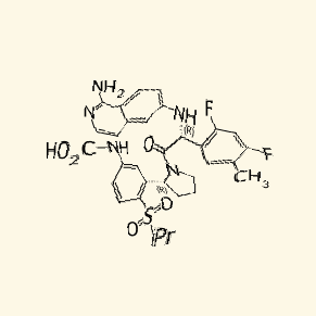 Cc1cc([C@@H](Nc2ccc3c(N)nccc3c2)C(=O)N2CCC[C@@H]2c2cc(NC(=O)O)ccc2S(=O)(=O)C(C)C)c(F)cc1F